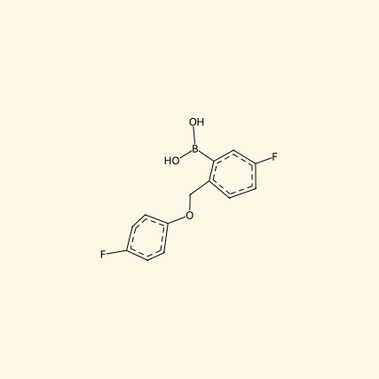 OB(O)c1cc(F)ccc1COc1ccc(F)cc1